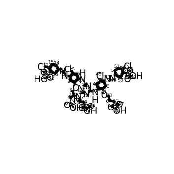 O=S(=O)(O)CCCOc1cc(N=Nc2ccc(Cl)c(S(=O)(=O)O)c2)c(Cl)cc1Nc1nc(NCCS(=O)(=O)O)nc(Nc2cc(Cl)c(N=Nc3ccc(Cl)c(S(=O)(=O)O)c3)cc2OCCCS(=O)(=O)O)n1